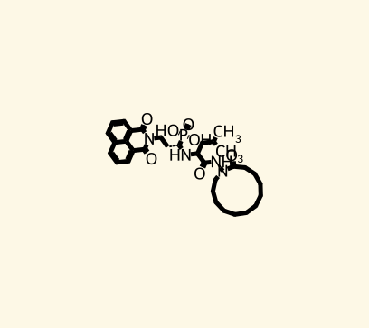 CC(C)CC(N[C@H](CCN1C(=O)c2cccc3cccc(c23)C1=O)P(=O)(O)O)C(=O)NN1CCCCCCCCCCCC1=O